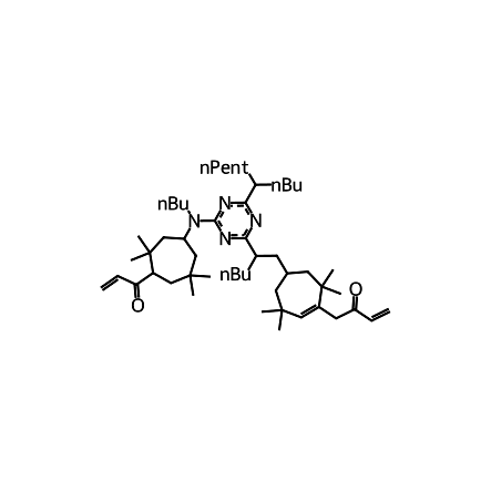 C=CC(=O)CC1=CC(C)(C)CC(CC(CCCC)c2nc(C(CCCC)CCCCC)nc(N(CCCC)C3CC(C)(C)CC(C(=O)C=C)C(C)(C)C3)n2)CC1(C)C